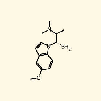 B[C@@H]([C@H](C)N(C)C)n1ccc2cc(OC)ccc21